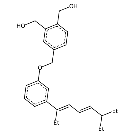 CCC(=CC=CC(CC)CC)c1cccc(OCc2ccc(CO)c(CO)c2)c1